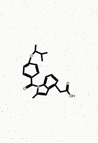 Cc1cc2c(CC(=O)O)cccc2n1C(=O)c1ccc(OC(C)C(C)C)cc1